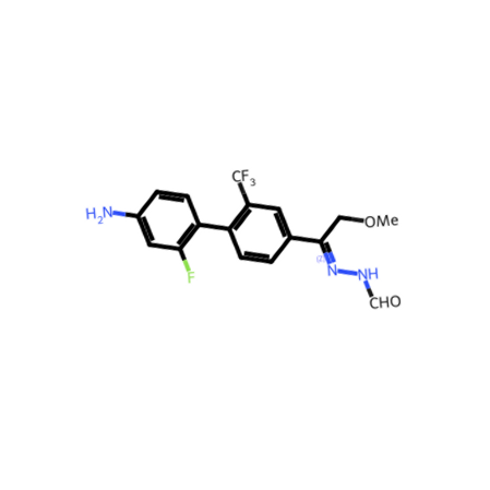 COC/C(=N\NC=O)c1ccc(-c2ccc(N)cc2F)c(C(F)(F)F)c1